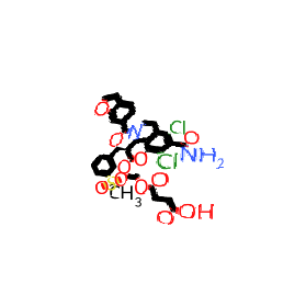 CS(=O)(=O)c1cccc(C[C@H](C(=O)OCCOC(=O)CCC(=O)O)C2c3cc(Cl)c(C(N)=O)c(Cl)c3CCN2C(=O)c2ccc3ccoc3c2)c1